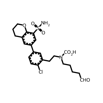 NS(=O)(=O)c1cc(-c2ccc(Cl)c(CCN(CCCCC=O)C(=O)O)c2)cc2c1OCCC2